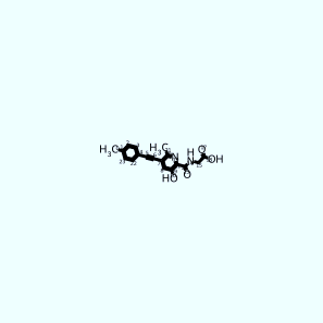 Cc1ccc(C#Cc2cc(O)c(C(=O)NCC(=O)O)nc2C)cc1